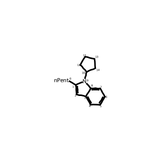 CCCCCc1cc2ccccc2n1C1CCCC1